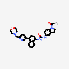 CC(=O)N1CCc2cc(NC(=O)Nc3ccc(-c4ccc(CN5CCOCC5)nc4)c4ccccc34)ccc21